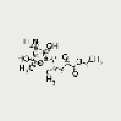 CCOC(=O)C(=O)CC(C)CC(OC(C)(C)O)[C@H](O)CN